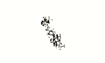 CC(C)c1cnc(C(=O)Nc2ccc(CCC3COC(N)=N3)cc2)cn1